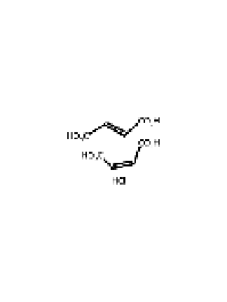 Cl.O=C(O)/C=C/C(=O)O.O=C(O)/C=C\C(=O)O